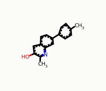 Cc1ccc(-c2ccc3cc(O)c(C)nc3c2)cc1